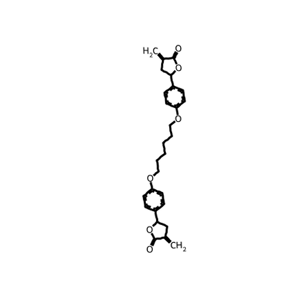 C=C1CC(c2ccc(OCCCCCCOc3ccc(C4CC(=C)C(=O)O4)cc3)cc2)OC1=O